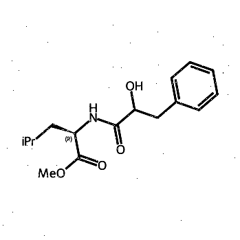 COC(=O)[C@@H](CC(C)C)NC(=O)C(O)Cc1ccccc1